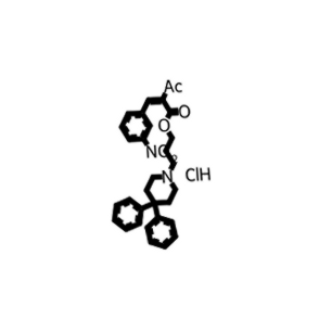 CC(=O)C(=Cc1cccc([N+](=O)[O-])c1)C(=O)OCCCN1CCC(c2ccccc2)(c2ccccc2)CC1.Cl